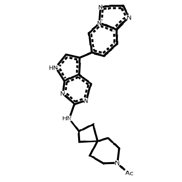 CC(=O)N1CCC2(CC1)CC(Nc1ncc3c(-c4ccc5ncnn5c4)c[nH]c3n1)C2